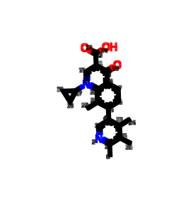 Cc1ncc(-c2ccc3c(=O)c(C(=O)O)cn(C4CC4)c3c2C)c(C)c1C